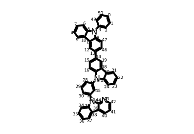 c1ccc(-n2c3ccccc3c3cc(-c4ccc5c(c4)c4ccccc4n5-c4cccc(-n5c6ccccc6c6cccnc65)c4)ccc32)cc1